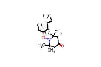 CCCCC(CC)ON1C(C)(C)CC(=O)CC1(C)C